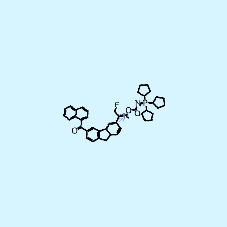 O=C(N=P(C1CCCC1)(C1CCCC1)C1CCCC1)O/N=C(\CF)C1=CC2c3cc(C(=O)c4cccc5ccccc45)ccc3CC2C=C1